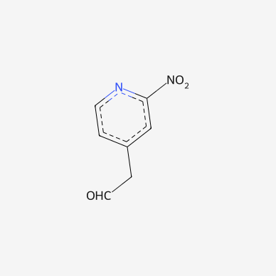 O=CCc1ccnc([N+](=O)[O-])c1